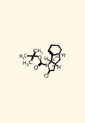 CC(C)(C)OC(=O)N1C(=O)C[C@H]2C[C@@H]3CCCC=C3[C@H]21